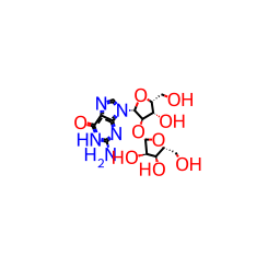 Nc1nc2c(ncn2[C@@H]2O[C@H](CO)[C@H](O)[C@H]2OC2O[C@H](CO)[C@@H](O)[C@H]2O)c(=O)[nH]1